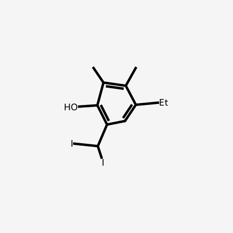 CCc1cc(C(I)I)c(O)c(C)c1C